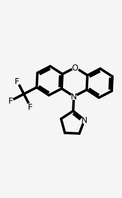 FC(F)(F)c1ccc2c(c1)N(C1=NCCC1)c1ccccc1O2